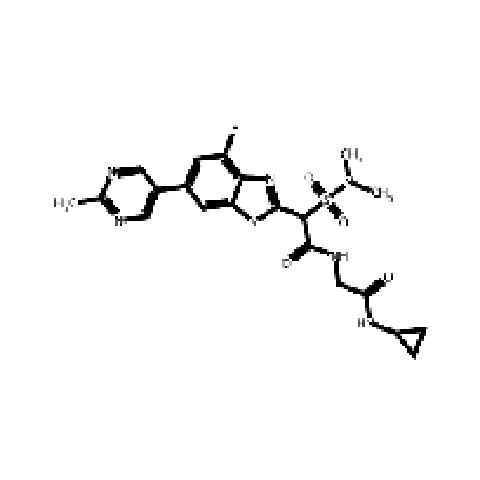 Cc1ncc(-c2cc(F)c3nc(C(C(=O)NCC(=O)NC4CC4)S(=O)(=O)N(C)C)sc3c2)cn1